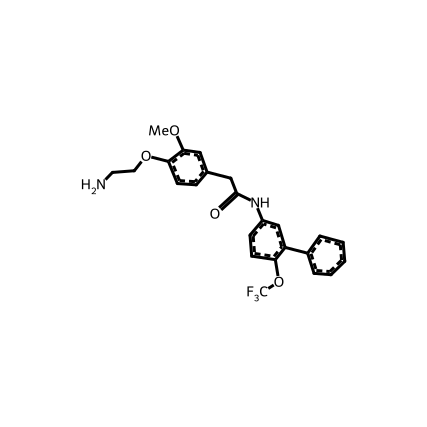 COc1cc(CC(=O)Nc2ccc(OC(F)(F)F)c(-c3ccccc3)c2)ccc1OCCN